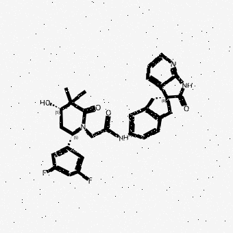 CC1(C)C(=O)N(CC(=O)Nc2ccc3c(c2)C[C@@]2(C3)C(=O)Nc3ncccc32)[C@H](c2cc(F)cc(F)c2)C[C@@H]1O